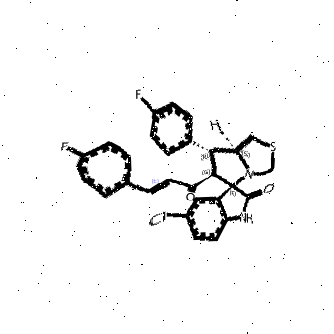 O=C(/C=C/c1ccc(F)cc1)[C@H]1[C@H](c2ccc(F)cc2)[C@H]2CSCN2[C@]12C(=O)Nc1ccc(Cl)cc12